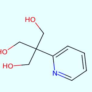 OCC(CO)(CO)c1ccccn1